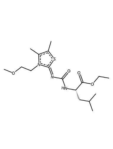 CCOC(=O)[C@H](CC(C)C)NC(=O)/N=c1\sc(C)c(C)n1CCOC